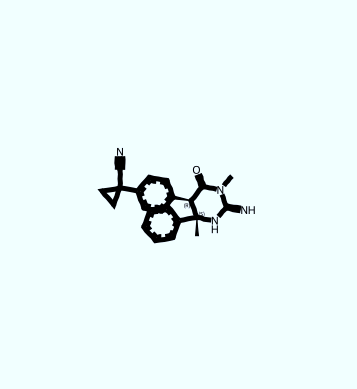 CN1C(=N)N[C@](C)(c2ccccc2)[C@@H](c2ccc(C3(C#N)CC3)cc2)C1=O